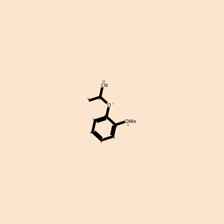 COc1ccccc1OC(C)C#N